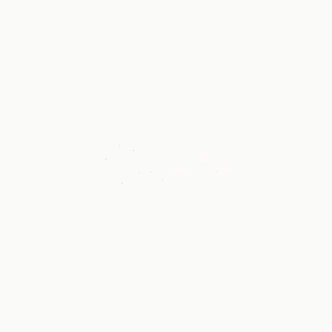 CC(C)(COCC(=O)O)c1ccccc1